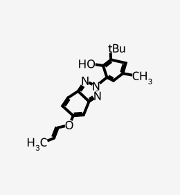 CC=COc1ccc2nn(-c3cc(C)cc(C(C)(C)C)c3O)nc2c1